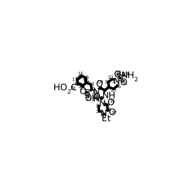 CCN1CCN(C(=O)NC(C(=O)N[C@H]2Cc3cccc(C(=O)O)c3OB2O)C2CCN(S(N)(=O)=O)CC2)C(=O)C1=O